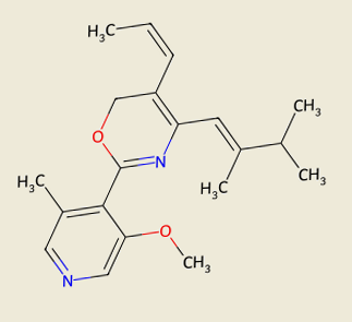 C/C=C\C1=C(/C=C(\C)C(C)C)N=C(c2c(C)cncc2OC)OC1